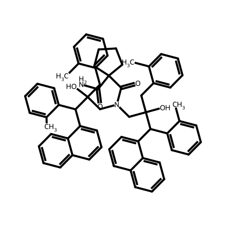 Cc1ccccc1CC(O)(CN(CC(O)(Cc1ccccc1C)C(c1ccccc1C)c1cccc2ccccc12)C(=O)C1(C(N)=O)CCCC1)C(c1ccccc1C)c1cccc2ccccc12